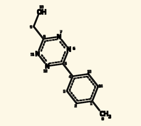 Cc1ccc(-c2nnc(CO)nn2)cc1